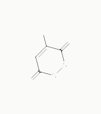 O=C1C=C(Cl)C(=O)[N]N1